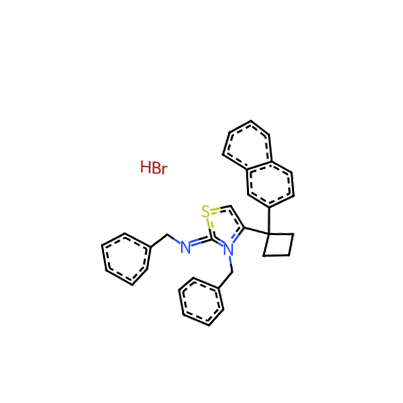 Br.c1ccc(CN=c2scc(C3(c4ccc5ccccc5c4)CCC3)n2Cc2ccccc2)cc1